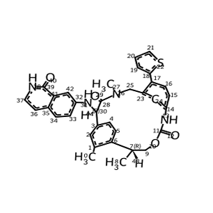 Cc1cc2ccc1[C@@H](C)COC(=O)Nc1ccc(-c3cccs3)c(c1)CN(C)C(=O)[C@@H]2Nc1ccc2cc[nH]c(=O)c2c1